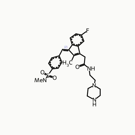 CNS(=O)(=O)c1ccc(/C=C2\C(C)=C(CC(=O)NCCN3CCNCC3)c3cc(F)ccc32)cc1